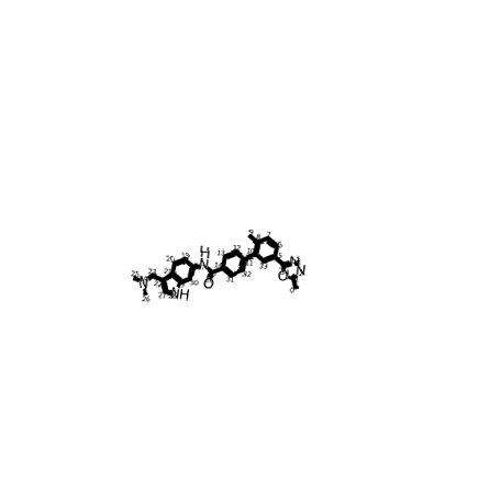 Cc1nnc(-c2ccc(C)c(-c3ccc(C(=O)Nc4ccc5c(CN(C)C)c[nH]c5c4)cc3)c2)o1